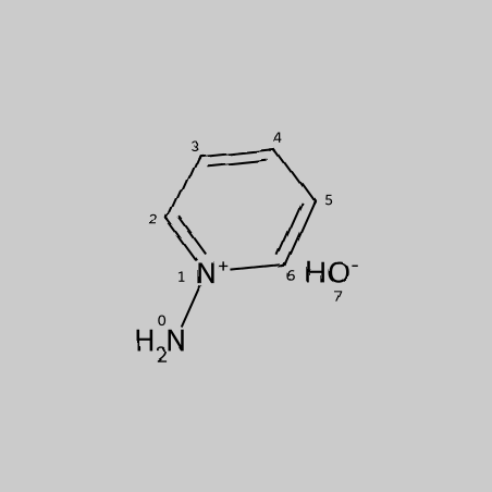 N[n+]1ccccc1.[OH-]